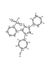 CS(=O)(=O)c1ccccc1-c1sc(-c2cccnc2)nc1-c1ccc(F)cc1